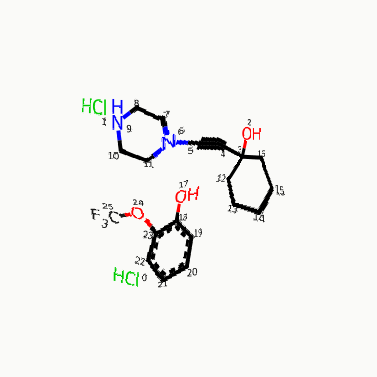 Cl.Cl.OC1(C#CN2CCNCC2)CCCCC1.Oc1ccccc1OC(F)(F)F